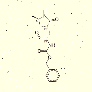 C[C@@H]1C[C@@H](C[C@@H](C=O)NC(=O)OCc2ccccc2)C(=O)N1